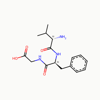 CC(C)[C@H](N)C(=O)N[C@@H](Cc1ccccc1)C(=O)NCC(=O)O